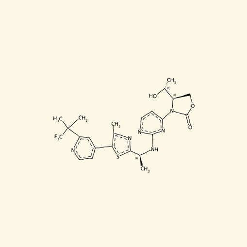 Cc1nc([C@H](C)Nc2nccc(N3C(=O)OC[C@@H]3[C@@H](C)O)n2)sc1-c1ccnc(C(C)(C)C(F)(F)F)c1